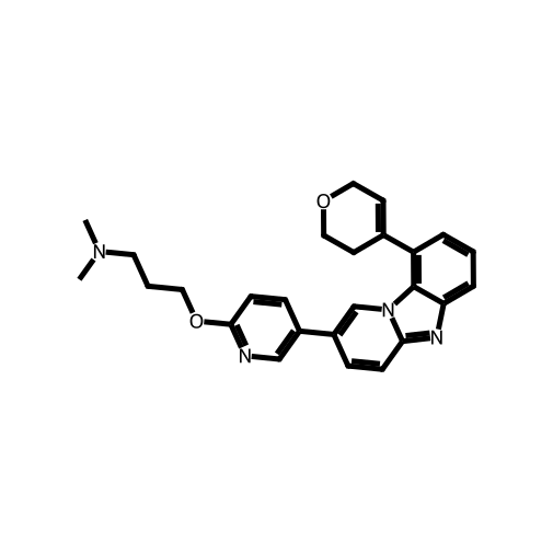 CN(C)CCCOc1ccc(-c2ccc3nc4cccc(C5=CCOCC5)c4n3c2)cn1